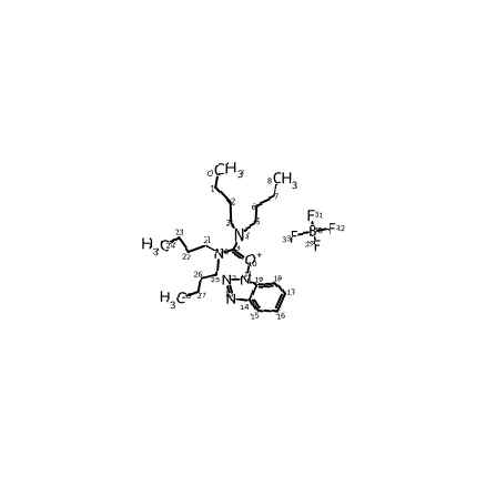 CCCCN(CCCC)C(=[O+]n1nnc2ccccc21)N(CCCC)CCCC.F[B-](F)(F)F